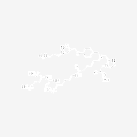 CC(C)(C)OC(=O)Cn1ccnc1CN(CCCCCC(=O)NCCCCC(NC(=O)NC(CCC(=O)O)C(=O)O)C(=O)O)Cc1ccc(OCc2cn(CCCN)nn2)cc1